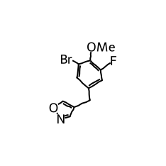 COc1c(F)cc(Cc2cnoc2)cc1Br